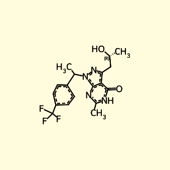 Cc1nc2c(c(C[C@@H](C)O)nn2C(C)c2ccc(C(F)(F)F)cc2)c(=O)[nH]1